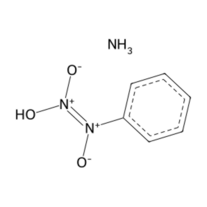 N.[O-]/[N+](O)=[N+](/[O-])c1ccccc1